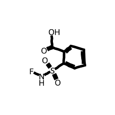 O=C(O)c1ccccc1S(=O)(=O)NF